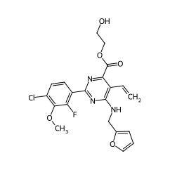 C=Cc1c(NCc2ccco2)nc(-c2ccc(Cl)c(OC)c2F)nc1C(=O)OCCO